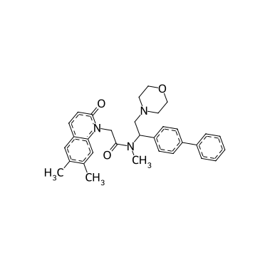 Cc1cc2ccc(=O)n(CC(=O)N(C)C(CN3CCOCC3)c3ccc(-c4ccccc4)cc3)c2cc1C